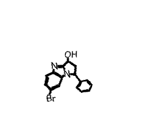 OC1CC(c2ccccc2)n2c1nc1ccc(Br)cc12